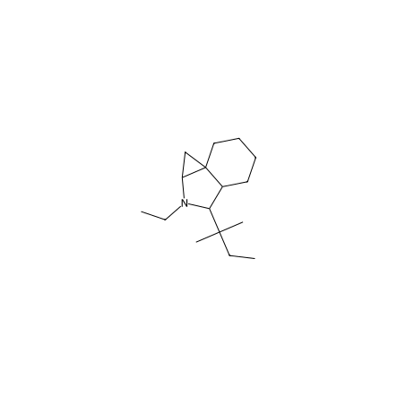 CCN1C(C(C)(C)CC)C2CCCCC23CC13